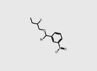 CCC(F)COC(Br)c1cccc([N+](=O)[O-])c1